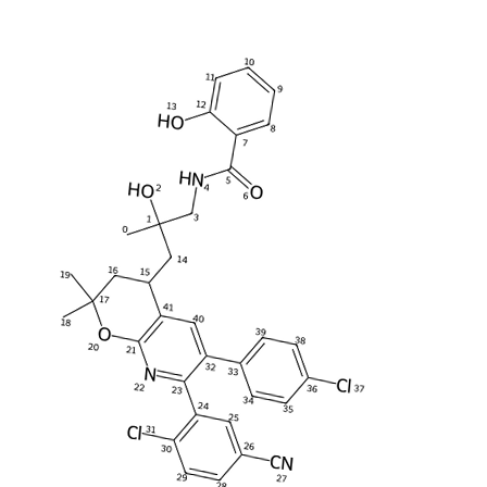 CC(O)(CNC(=O)c1ccccc1O)CC1CC(C)(C)Oc2nc(-c3cc(C#N)ccc3Cl)c(-c3ccc(Cl)cc3)cc21